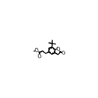 COC(=O)CCc1cc2c(c(C(C)(C)C)c1)OC(=O)C2